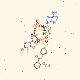 Nc1ncnc2c1ncn2[C@@H]1O[C@@H]2COP(=O)(SCc3ccc(OC(=O)c4ccccc4OO)cc3)O[C@H]3[C@@H](F)[C@H](n4ccc(=O)[nH]c4=O)O[C@@H]3COP(=O)(O)O[C@@H]1[C@@H]2F